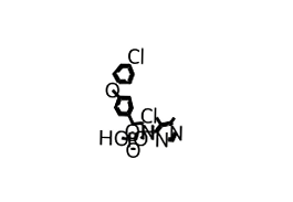 Cc1ncnc(N(CCc2ccc(Oc3ccc(Cl)cc3)cc2)OP(=O)(O)O)c1Cl